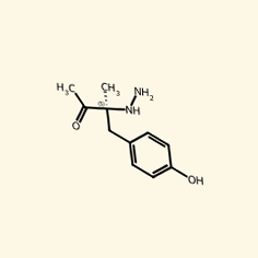 CC(=O)[C@](C)(Cc1ccc(O)cc1)NN